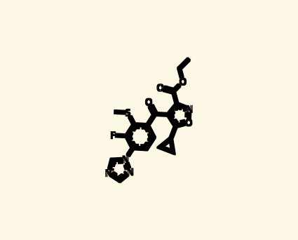 CCOC(=O)c1noc(C2CC2)c1C(=O)c1ccc(-n2cncn2)c(F)c1SC